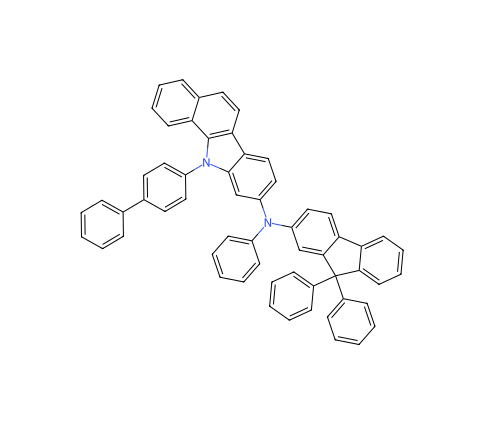 c1ccc(-c2ccc(-n3c4cc(N(c5ccccc5)c5ccc6c(c5)C(c5ccccc5)(c5ccccc5)c5ccccc5-6)ccc4c4ccc5ccccc5c43)cc2)cc1